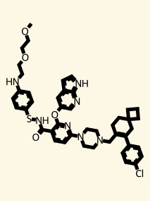 COCCOCCNc1ccc(SNC(=O)c2ccc(N3CCN(CC4=C(c5ccc(Cl)cc5)CC5(CCC5)CC4)CC3)nc2Oc2cnc3[nH]ccc3c2)cc1